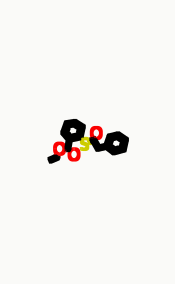 CCOC(=O)c1ccccc1SC(=O)Cc1ccccc1